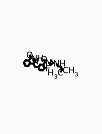 CC(C)=CCNC1CN(C(=O)c2cc(Cc3n[nH]c(=O)c4ccccc34)ccc2F)C1